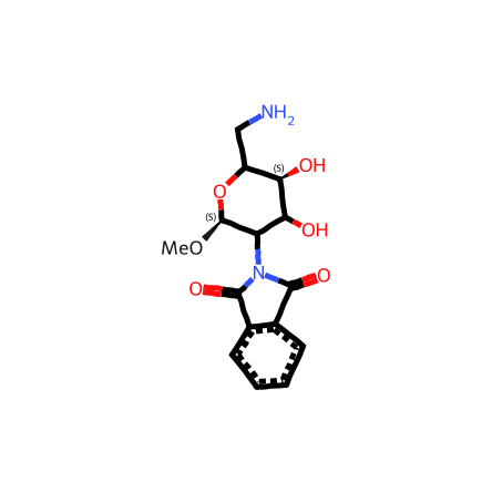 CO[C@H]1OC(CN)[C@@H](O)C(O)C1N1C(=O)c2ccccc2C1=O